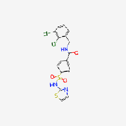 O=C(NCc1cccc(Cl)c1Cl)c1ccc(S(=O)(=O)Nc2nccs2)cc1